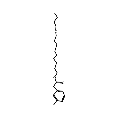 CCCCCCCCCCCCCCOC(=O)Cc1cccc(C)c1